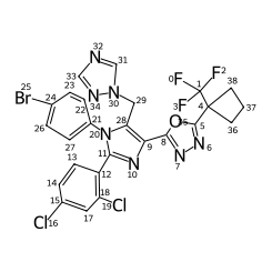 FC(F)(F)C1(c2nnc(-c3nc(-c4ccc(Cl)cc4Cl)n(-c4ccc(Br)cc4)c3Cn3cncn3)o2)CCC1